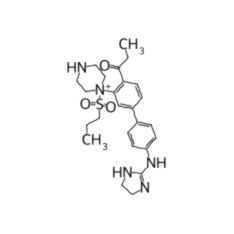 CCCS(=O)(=O)[N+]1(c2cc(-c3ccc(NC4=NCCN4)cc3)ccc2C(=O)CC)CCNCC1